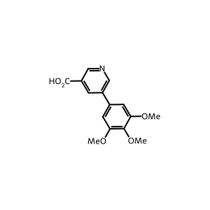 COc1cc(-c2cncc(C(=O)O)c2)cc(OC)c1OC